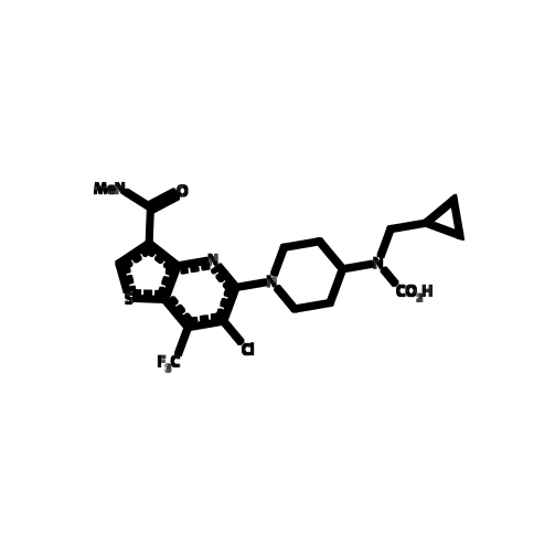 CNC(=O)c1csc2c(C(F)(F)F)c(Cl)c(N3CCC(N(CC4CC4)C(=O)O)CC3)nc12